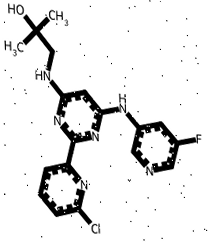 CC(C)(O)CNc1cc(Nc2cncc(F)c2)nc(-c2cccc(Cl)n2)n1